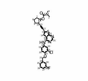 CN(C)C(=O)ON1CCCC1C#Cc1cc2c(Nc3ccc(OCc4cccc(F)c4)c(Cl)c3)ncnc2s1